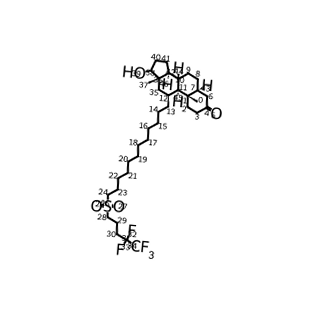 C[C@]12CCC(=O)C[C@@H]1CC[C@@H]1[C@@H]2[C@@H](CCCCCCCCCCCCS(=O)(=O)CCCC(F)(F)C(F)(F)F)C[C@]2(C)[C@@H](O)CC[C@@H]12